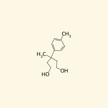 Cc1ccc(C(C)(CCO)CCO)cc1